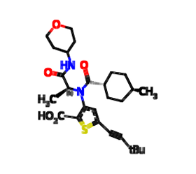 C[C@@H](C(=O)NC1CCOCC1)N(c1cc(C#CC(C)(C)C)sc1C(=O)O)C(=O)[C@H]1CC[C@H](C)CC1